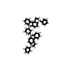 c1ccc(-n2ccc3c4c5ccccc5n(-c5ccnc(-n6c7ccccc7c7c8ccn(-c9ccccc9)c8ccc76)c5)c4ccc32)cc1